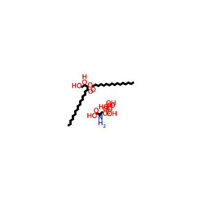 CCCCCCCCCCCCCCCC(=O)OC(C(=O)CCCCCCCCCCCCCCC)C(O)CO.N[C@@H](COP(=O)(O)OP(=O)(O)O)C(=O)O